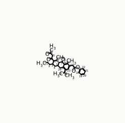 CCCC(CC1CC(=O)c2c(C)c(CC(=O)Oc3ccccc3)cc(C(C)C)c2C1)C(CC)C(=O)CC(C)=O